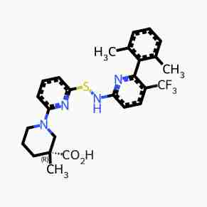 Cc1cccc(C)c1-c1nc(NSc2cccc(N3CCC[C@@](C)(C(=O)O)C3)n2)ccc1C(F)(F)F